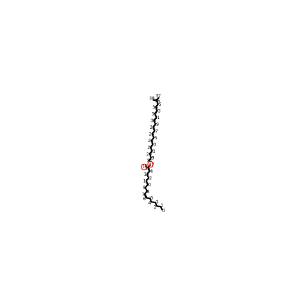 CCCCCC/C=C\CCCCCCCC(=O)OCCCCCCCCCCCCCCCCCCC(C)C